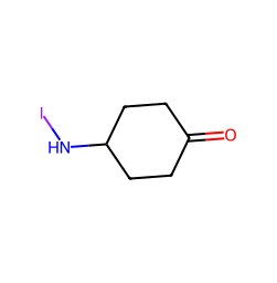 O=C1CCC(NI)CC1